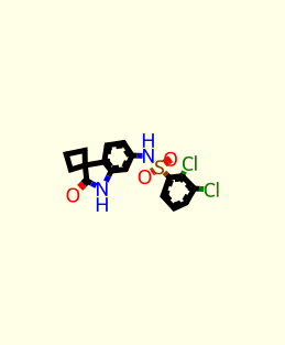 O=C1Nc2cc(NS(=O)(=O)c3cccc(Cl)c3Cl)ccc2C12CCC2